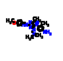 COc1ccc(CNc2nc(/N=C/N(C)C)c3c(n2)c(C)nn3-c2ccc(N)cc2C)cc1